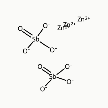 [O]=[Sb]([O-])([O-])[O-].[O]=[Sb]([O-])([O-])[O-].[Zn+2].[Zn+2].[Zn+2]